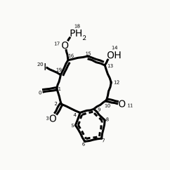 C=C1C(=O)c2ccccc2C(=O)C/C(O)=C\C(OP)=C/1I